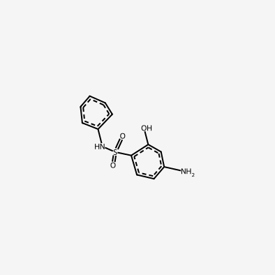 Nc1ccc(S(=O)(=O)Nc2ccccc2)c(O)c1